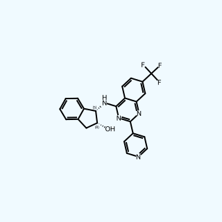 O[C@@H]1Cc2ccccc2[C@@H]1Nc1nc(-c2ccncc2)nc2cc(C(F)(F)F)ccc12